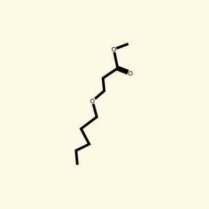 CCCCCOCCC(=O)OC